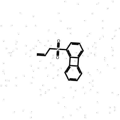 C=CCS(=O)(=O)c1cccc2c1-c1ccccc1-2